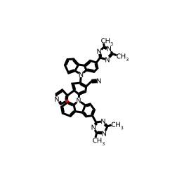 Cc1nc(C)nc(-c2ccc3c(c2)c2ccccc2n3-c2cc(-c3ccncc3)c(-n3c4ccccc4c4cc(-c5nc(C)nc(C)n5)ccc43)cc2C#N)n1